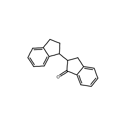 O=C1c2ccccc2CC1C1CCc2ccccc21